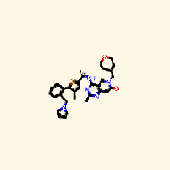 Cc1nc(N[C@H](C)c2cc(C)c(-c3ccccc3Cn3cccc3)s2)c2cn(CC3CCOCC3)c(=O)cc2n1